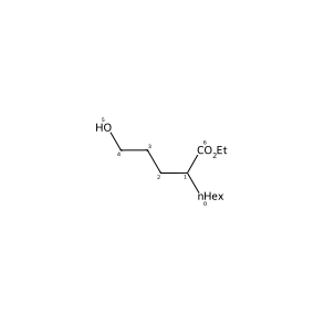 CCCCCCC(CCCO)C(=O)OCC